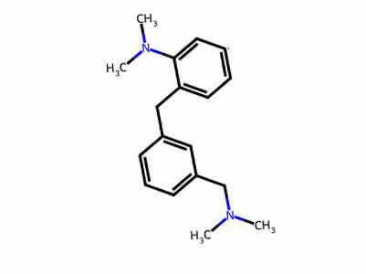 CN(C)Cc1cccc(Cc2cc[c]cc2N(C)C)c1